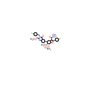 CNC(=O)c1c(-c2ccc(F)cc2)oc2cc(N(C)S(C)(=O)=O)c(-c3ccc4nc(COC)n(Cc5ccc(F)cc5)c(=O)c4c3)cc12